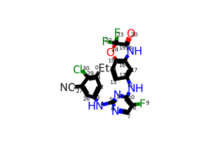 CCc1cc(Nc2ncc(F)c(Nc3ccc4c(c3)NC(=O)C(F)(F)O4)n2)cc(C#N)c1Cl